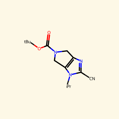 CC(C)n1c(C#N)nc2c1CN(C(=O)OC(C)(C)C)C2